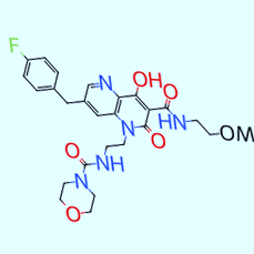 COCCNC(=O)c1c(O)c2ncc(Cc3ccc(F)cc3)cc2n(CCNC(=O)N2CCOCC2)c1=O